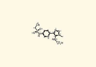 Cn1nnc(-c2ccc(NS(=O)(=O)CC#N)cn2)c1NC(=O)O